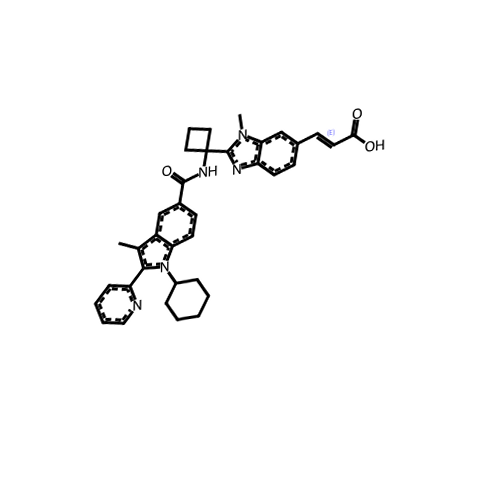 Cc1c(-c2ccccn2)n(C2CCCCC2)c2ccc(C(=O)NC3(c4nc5ccc(/C=C/C(=O)O)cc5n4C)CCC3)cc12